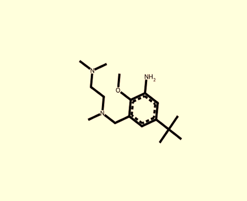 COc1c(N)cc(C(C)(C)C)cc1CN(C)CCN(C)C